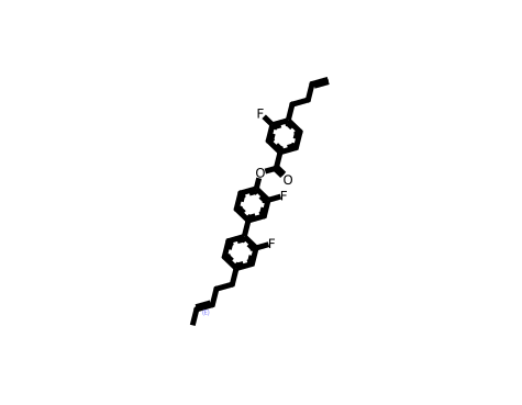 C=CCCc1ccc(C(=O)Oc2ccc(-c3ccc(CC/C=C/C)cc3F)cc2F)cc1F